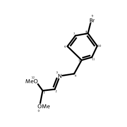 COC(C=NCc1ccc(Br)cc1)OC